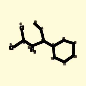 CCC([SiH2]C(Cl)Cl)[C]1CCCCC1